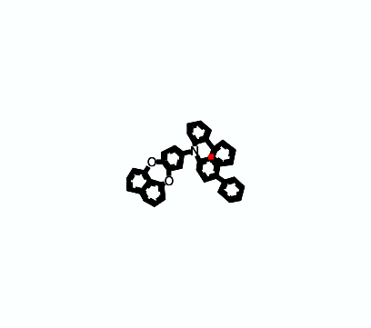 c1ccc(-c2ccc(N(c3ccc4c(c3)Oc3cccc5cccc(c35)O4)c3ccccc3-c3ccccc3)cc2)cc1